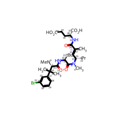 CN[C@H](C(=O)N[C@H](C(=O)N(C)[C@H](/C=C(\C)C(=O)N[C@H](CCC(=O)O)C(=O)O)C(C)C)C(C)(C)C)C(C)(C)c1cccc(Br)c1